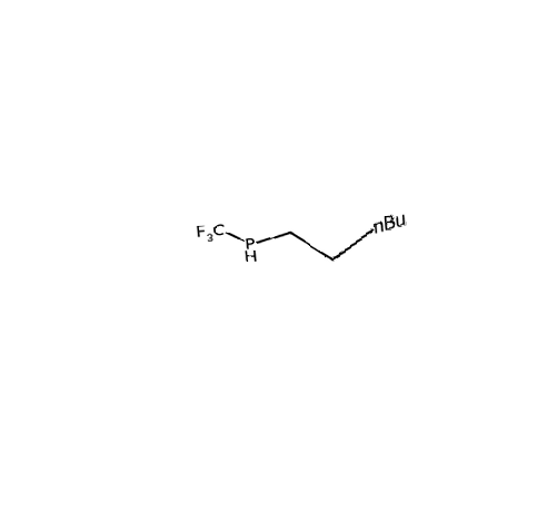 CCCCCCPC(F)(F)F